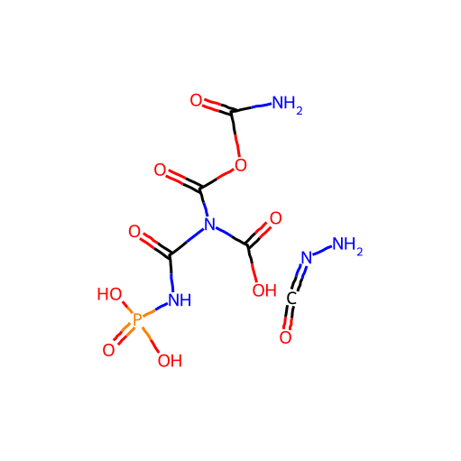 NC(=O)OC(=O)N(C(=O)O)C(=O)NP(=O)(O)O.NN=C=O